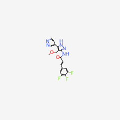 COCc1c(NC(=O)C=Cc2cc(F)c(F)c(F)c2)n[nH]c1-c1ccnnc1